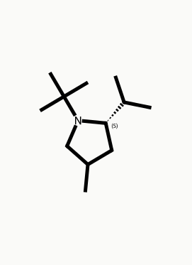 CC1C[C@@H](C(C)C)N(C(C)(C)C)C1